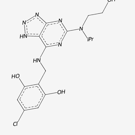 CC(C)N(CCO)c1nc(NCc2c(O)cc(Cl)cc2O)c2[nH]nnc2n1